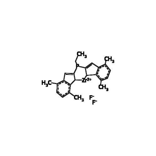 CCP1C2=Cc3c(C)ccc(C)c3[CH]2[Zr+2][CH]2C1=Cc1c(C)ccc(C)c12.[F-].[F-]